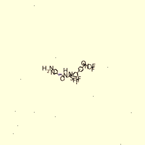 Nc1ccc(/C=C/C(=O)NCc2nc3cc(-c4ccc(C(=O)N5CCC(F)(F)CC5)cc4)cc(C(F)(F)F)c3s2)cn1